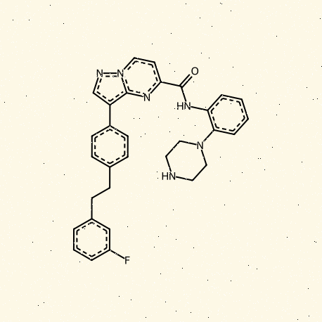 O=C(Nc1ccccc1N1CCNCC1)c1ccn2ncc(-c3ccc(CCc4cccc(F)c4)cc3)c2n1